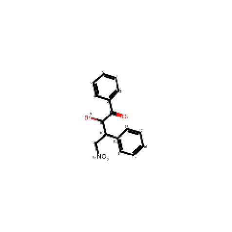 O=C(c1ccccc1)C(Br)C(C[N+](=O)[O-])c1ccccc1